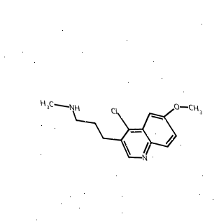 CNCCCc1cnc2ccc(OC)cc2c1Cl